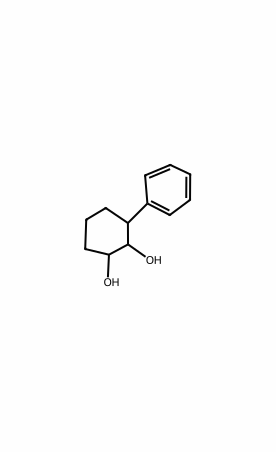 OC1CCCC(c2ccccc2)C1O